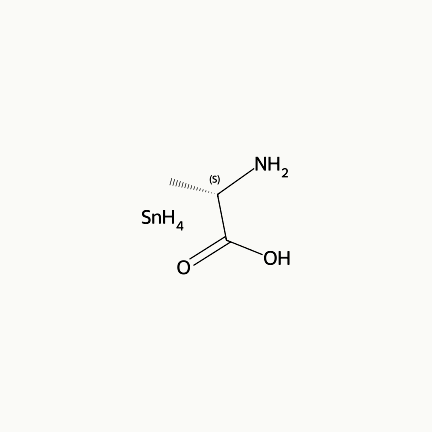 C[C@H](N)C(=O)O.[SnH4]